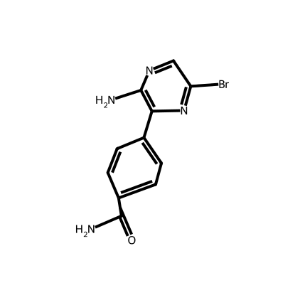 NC(=O)c1ccc(-c2nc(Br)cnc2N)cc1